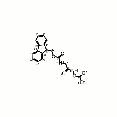 CCC(=O)ONC(=O)CNC(=O)OCC1c2ccccc2-c2ccccc21